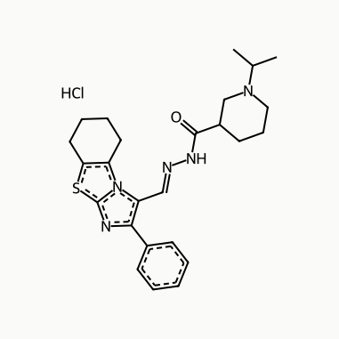 CC(C)N1CCCC(C(=O)NN=Cc2c(-c3ccccc3)nc3sc4c(n23)CCCC4)C1.Cl